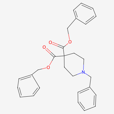 O=C(OCc1ccccc1)C1(C(=O)OCc2ccccc2)CCN(Cc2ccccc2)CC1